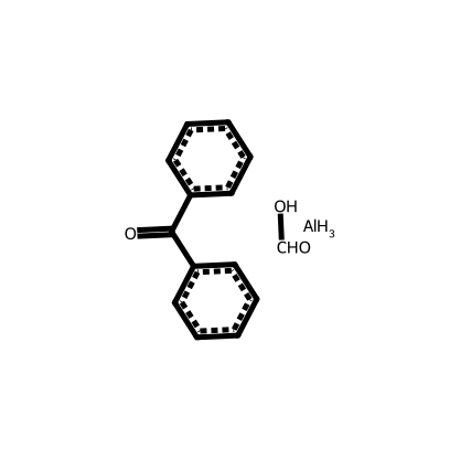 O=C(c1ccccc1)c1ccccc1.O=CO.[AlH3]